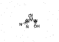 N#CC[C@]1(n2ccc(-c3nc(-c4cnn(CCO)c4)cc4ncccc34)n2)C[C@@H](C#N)C1